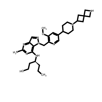 CCC[C@@H](CCO)Nc1nc(N)nc2cnn(Cc3ncc(C4CCN(C5CC6(CNC6)C5)CC4)cc3OC)c12